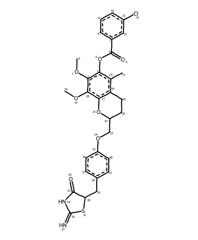 COc1c(OC(=O)c2cccc(Cl)c2)c(C)c2c(c1OC)OC(COc1ccc(CC3SC(=N)NC3=O)cc1)CC2